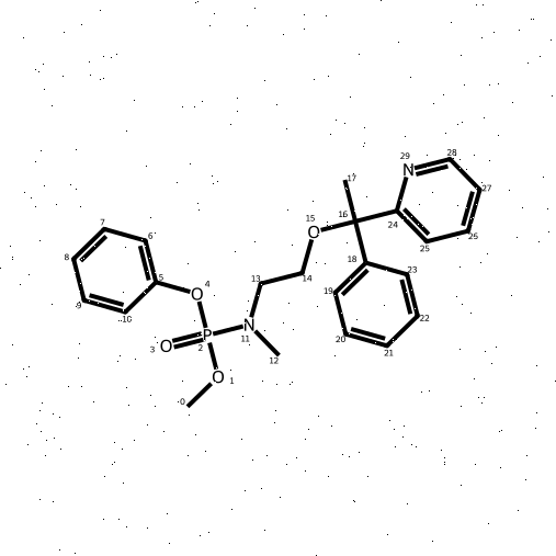 COP(=O)(Oc1ccccc1)N(C)CCOC(C)(c1ccccc1)c1ccccn1